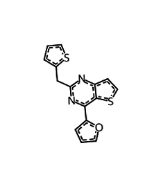 c1coc(-c2nc(Cc3cccs3)nc3ccsc23)c1